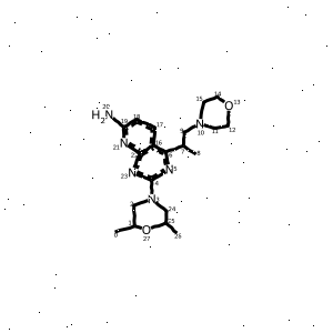 CC1CN(c2nc(C(C)CN3CCOCC3)c3ccc(N)nc3n2)CC(C)O1